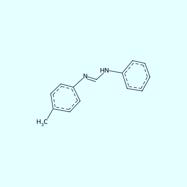 Cc1ccc(/N=C/Nc2ccccc2)cc1